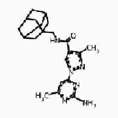 Cc1cc(-n2cc(C(=O)NCC34CC5CC(CC(C5)C3)C4)c(C)n2)nc(N)n1